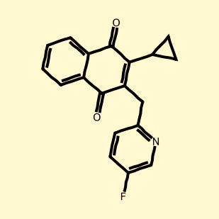 O=C1C(Cc2ccc(F)cn2)=C(C2CC2)C(=O)c2ccccc21